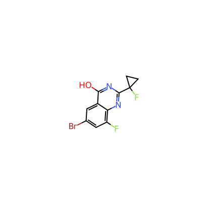 Oc1nc(C2(F)CC2)nc2c(F)cc(Br)cc12